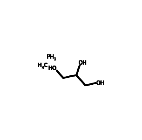 C.OCC(O)CO.P